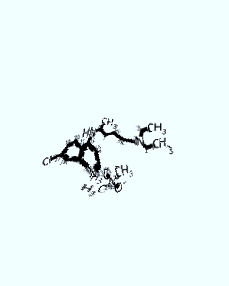 CCN(CC)CCCC(C)Nc1ccnc2cc(Cl)ccc12.C[N+](C)(C)[O-]